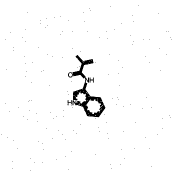 C=C(C)C(=O)Nc1c[nH]c2ccccc12